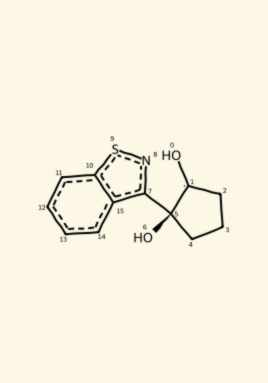 O[C]1CCC[C@]1(O)c1nsc2ccccc12